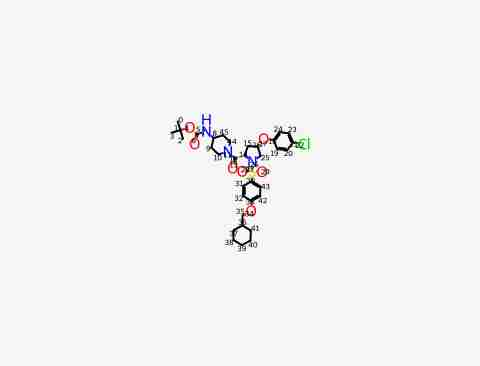 CC(C)(C)OC(=O)NC1CCN(C(=O)[C@@H]2C[C@@H](Oc3ccc(Cl)cc3)CN2S(=O)(=O)c2ccc(OCC3CCCCC3)cc2)CC1